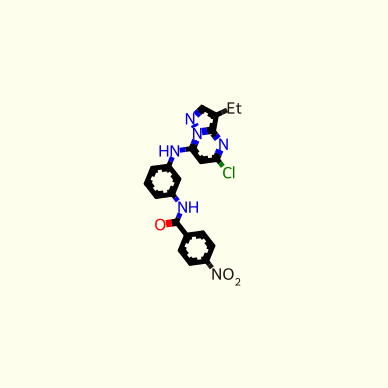 CCc1cnn2c(Nc3cccc(NC(=O)c4ccc([N+](=O)[O-])cc4)c3)cc(Cl)nc12